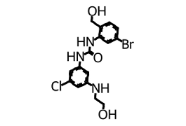 O=C(Nc1cc(Cl)cc(NCCO)c1)Nc1cc(Br)ccc1CO